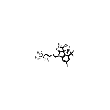 CC(C)C1(O)C(=O)N(COCC[Si](C)(C)C)c2cc(I)cc(C(F)(F)F)c21